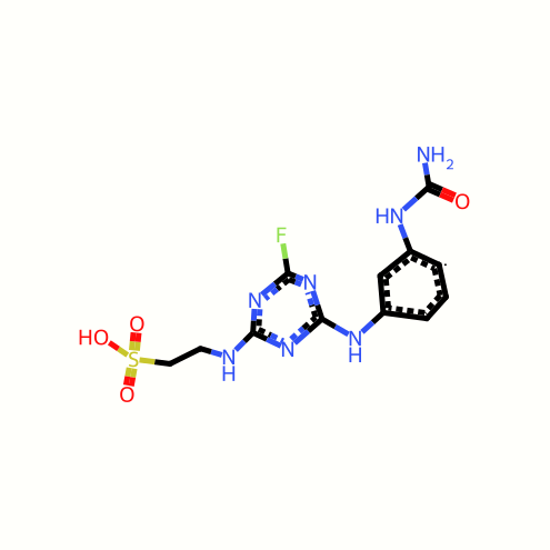 NC(=O)Nc1[c]ccc(Nc2nc(F)nc(NCCS(=O)(=O)O)n2)c1